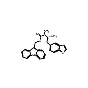 C[C@H](Cc1ccc2occc2c1)N(C)C(=O)OCC1c2ccccc2-c2ccccc21